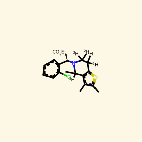 [2H]C1(C)c2c(sc(C)c2C)C([2H])([2H])C([2H])([2H])N1[C@H](C(=O)OCC)c1ccccc1Cl